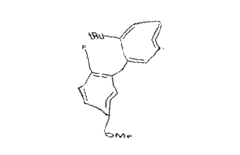 COc1ccc(F)c(-c2c[c]ccc2C(C)(C)C)c1